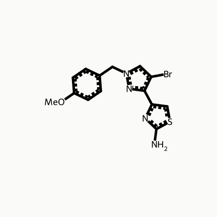 COc1ccc(Cn2cc(Br)c(-c3csc(N)n3)n2)cc1